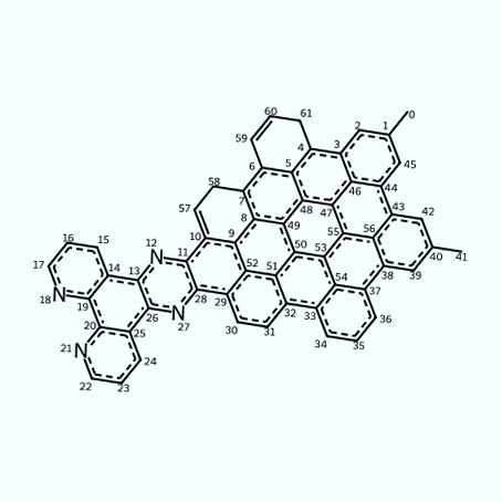 Cc1cc2c3c4c(c5c6c7c(c8nc9c%10cccnc%10c%10ncccc%10c9nc8c8ccc9c%10cccc%11c%12cc(C)cc%13c(c1)c2c1c4c6c(c9c87)c(c%11%10)c1c%13%12)=CC5)C=CC3